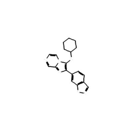 c1cn2c(NC3CCCCC3)c(-c3ccc4cn[nH]c4c3)nc2cn1